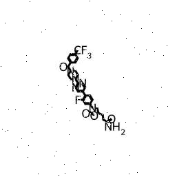 NC(=O)CCC1CN(c2ccc(-c3cnc(N4CCN(C(=O)c5ccc(C(F)(F)F)cc5)CC4)nc3)c(F)c2)C(=O)O1